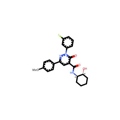 COc1ccc(-c2cc(C(=O)N[C@@H]3CCCC[C@H]3O)c(=O)n(-c3cccc(F)c3)n2)cc1